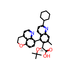 Cc1cc2nc(C3CCCCC3)ccc2c(-c2ccc3c4c(ccnc24)CCO3)c1[C@H](OC(C)(C)C)C(=O)O